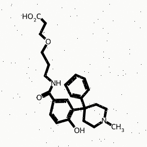 CN1CCC(c2ccccc2)(c2cc(C(=O)NCCCOCCC(=O)O)ccc2O)CC1